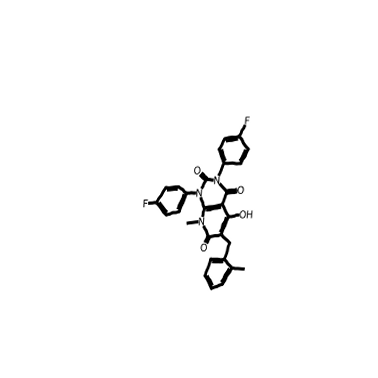 Cc1ccccc1Cc1c(O)c2c(=O)n(-c3ccc(F)cc3)c(=O)n(-c3ccc(F)cc3)c2n(C)c1=O